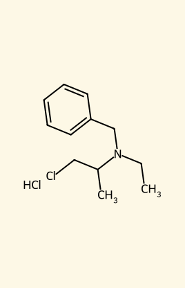 CCN(Cc1ccccc1)C(C)CCl.Cl